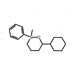 C[Si]1(c2ccccc2)CCCC(C2CCCCC2)O1